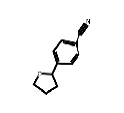 N#Cc1ccc(C2CCCO2)cc1